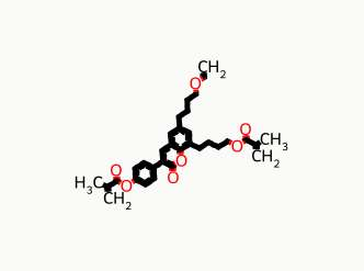 C=COCCCCc1cc(CCCCOC(=O)C(=C)C)c2oc(=O)c(-c3ccc(OC(=O)C(=C)C)cc3)cc2c1